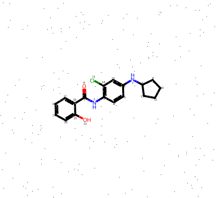 O=C(Nc1ccc(NC2CCCC2)cc1Cl)c1ccccc1O